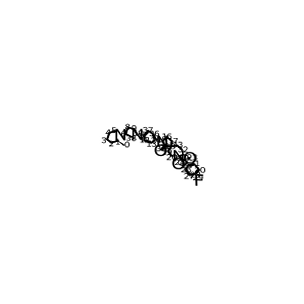 C[C@H]1CCCCN1C1CCN(c2ccc(N3CCC4(CCN(S(=O)(=O)c5ccc(F)cc5)CC4)C3=O)cc2)C1